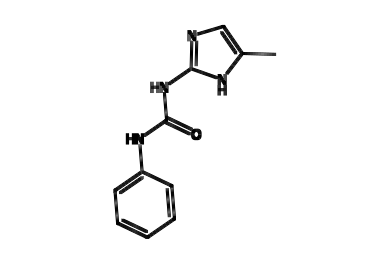 Cc1cnc(NC(=O)Nc2ccccc2)[nH]1